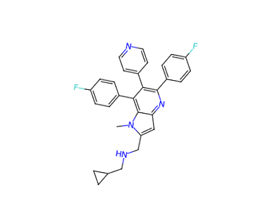 Cn1c(CNCC2CC2)cc2nc(-c3ccc(F)cc3)c(-c3ccncc3)c(-c3ccc(F)cc3)c21